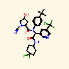 CC(C)(C)c1ccc(N(C(=O)C2CC(O)CN2C#N)C(C(=O)NC2CCC(F)(F)CC2)c2cncc(C(F)(F)F)c2)cc1